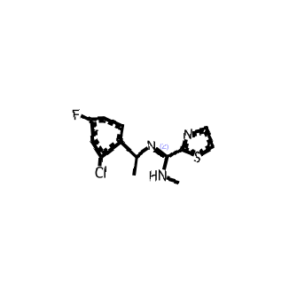 CN/C(=N\C(C)c1ccc(F)cc1Cl)c1nccs1